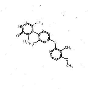 COc1ccnc(Oc2ccc(-c3c(C)n[nH]c(=O)c3C)c(C)c2)c1C